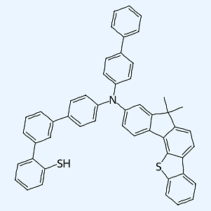 CC1(C)c2cc(N(c3ccc(-c4ccccc4)cc3)c3ccc(-c4cccc(-c5ccccc5S)c4)cc3)ccc2-c2c1ccc1c2sc2ccccc21